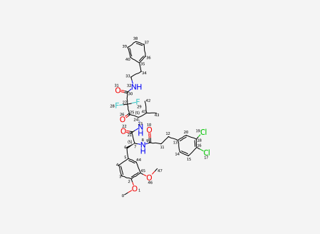 COc1ccc(C[C@H](NC(=O)CCc2ccc(Cl)c(Cl)c2)C(=O)N[C@H](C(=O)C(F)(F)C(=O)NCCc2ccccc2)C(C)C)cc1OC